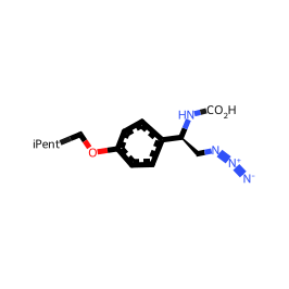 CCCC(C)COc1ccc([C@H](CN=[N+]=[N-])NC(=O)O)cc1